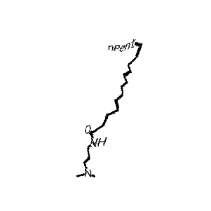 CCCCC/C=C\CC=CCCCCCCCC(=O)NCCCN(C)C